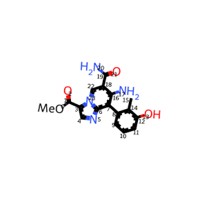 COC(=O)c1cnc2c(-c3cccc(O)c3C)c(N)c(C(N)=O)cn12